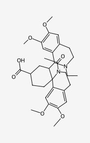 CCN1CCc2cc(OC)c(OC)cc2C1C1CC(C(=O)O)CCC12c1cc(OC)c(OC)cc1CCN2C(C)=O